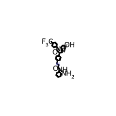 Nc1ccccc1NC(=O)/C=C/c1ccc(C(CN2CC[C@H](O)C2)C(=O)Nc2ccc(C(F)(F)F)cc2)cc1